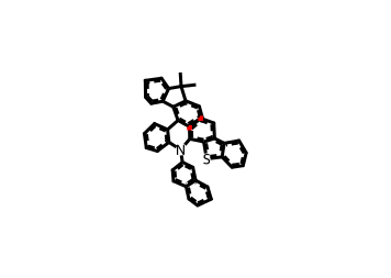 CC1(C)c2ccccc2-c2c(-c3ccccc3N(c3ccc4ccccc4c3)c3cccc4c3sc3ccccc34)cccc21